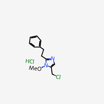 COn1c(CCl)cnc1CCc1ccccc1.Cl